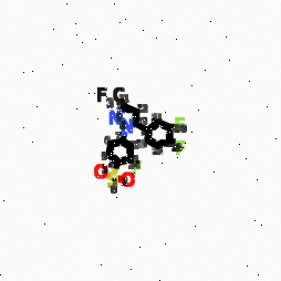 CS(=O)(=O)c1ccc(-n2nc(C(F)(F)F)cc2-c2ccc(F)c(F)c2)cc1F